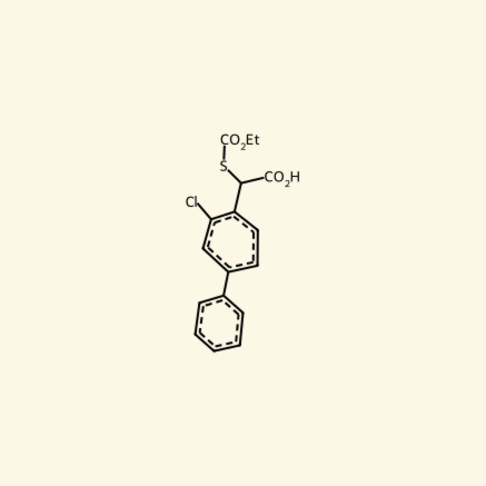 CCOC(=O)SC(C(=O)O)c1ccc(-c2ccccc2)cc1Cl